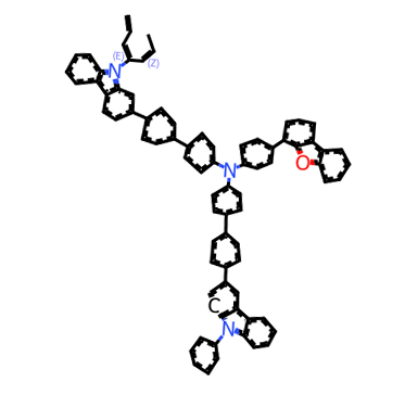 C=C/C=C(\C=C/C)n1c2ccccc2c2ccc(-c3ccc(-c4ccc(N(c5ccc(-c6ccc(-c7ccc8c(c7)c7ccccc7n8-c7ccccc7)cc6)cc5)c5ccc(-c6cccc7c6oc6ccccc67)cc5)cc4)cc3)cc21